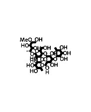 COC(CO)[C@@H](O)C(O)[C@@H](C)O[C@H]1OC(CO)[C@@H](O[C@@H]2OC(CO)[C@@H](O)C(O[C@@H]3OC(C)[C@H](O)C(O)[C@@H]3O)[C@@H]2O)[C@H](O[C@@H]2OC(C)[C@H](O)C(O)[C@@H]2O)C1O